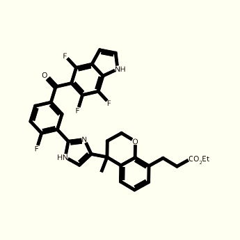 CCOC(=O)CCc1cccc2c1OCCC2(C)c1c[nH]c(-c2cc(C(=O)c3c(F)c(F)c4[nH]ccc4c3F)ccc2F)n1